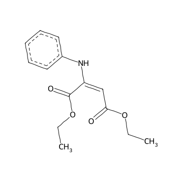 CCOC(=O)C=C(Nc1ccccc1)C(=O)OCC